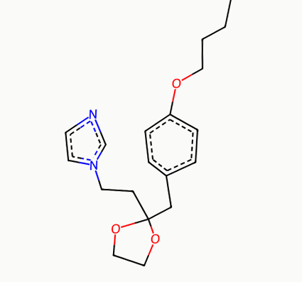 CCCCOc1ccc(CC2(CCn3ccnc3)OCCO2)cc1